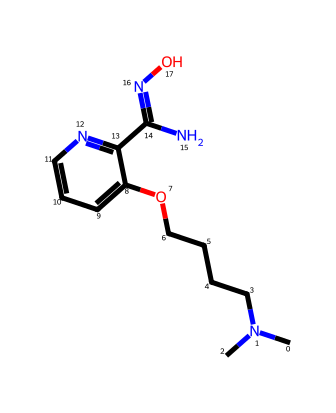 CN(C)CCCCOc1cccnc1C(N)=NO